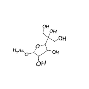 OCC(O)(CO)C1OC(O[AsH2])C(O)C1O